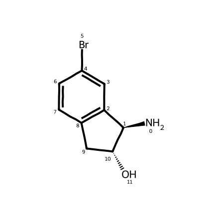 N[C@@H]1c2cc(Br)ccc2C[C@H]1O